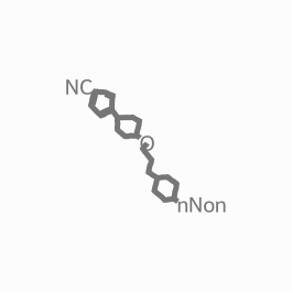 CCCCCCCCCC1CCC(CCCOC2CCC(c3ccc(C#N)cc3)CC2)CC1